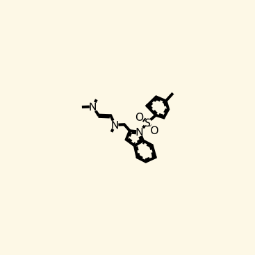 Cc1ccc(S(=O)(=O)n2c(CN(C)/C=C/N(C)C)cc3ccccc32)cc1